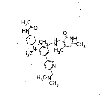 CC(=O)N[C@H]1CC[C@@H](N(C)c2cc(-c3ccc(CN(C)C)nc3)cc(CNCc3c(C)cc(C)[nH]c3=O)c2C)CC1